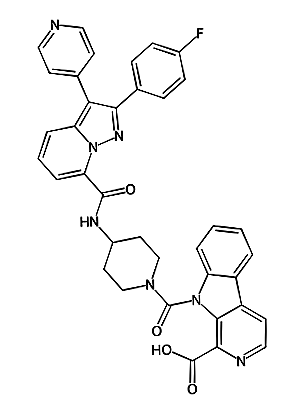 O=C(O)c1nccc2c3ccccc3n(C(=O)N3CCC(NC(=O)c4cccc5c(-c6ccncc6)c(-c6ccc(F)cc6)nn45)CC3)c12